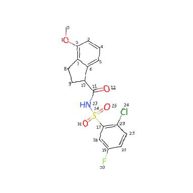 COc1cccc2c1CCC2C(=O)NS(=O)(=O)c1cc(F)ccc1Cl